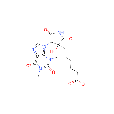 Cn1c(=O)c2ncn(C3C(=O)NC(=O)C3(O)CCCCCC(=O)O)c2n(C)c1=O